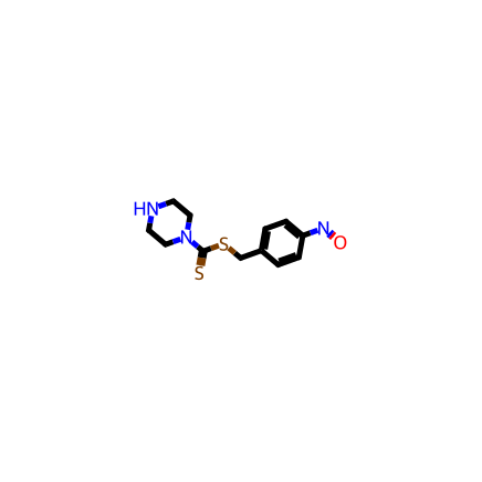 O=Nc1ccc(CSC(=S)N2CCNCC2)cc1